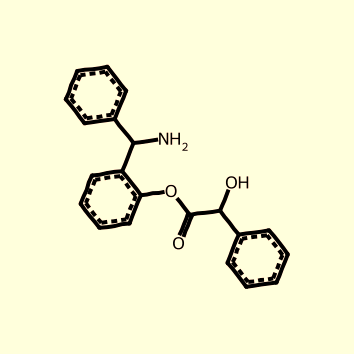 NC(c1ccccc1)c1ccccc1OC(=O)C(O)c1ccccc1